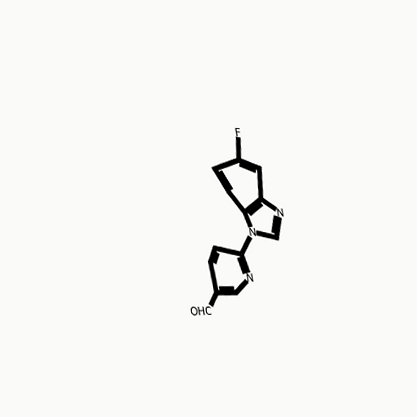 O=Cc1ccc(-n2cnc3cc(F)ccc32)nc1